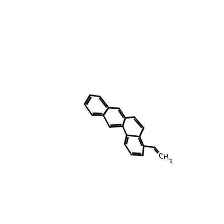 C=Cc1cccc2c1ccc1cc3ccccc3cc12